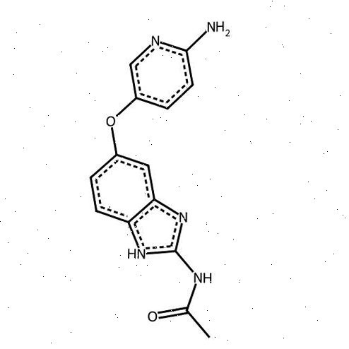 CC(=O)Nc1nc2cc(Oc3ccc(N)nc3)ccc2[nH]1